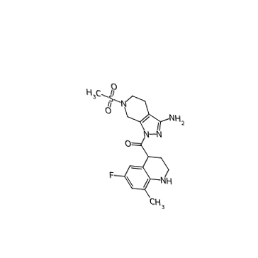 Cc1cc(F)cc2c1NCCC2C(=O)n1nc(N)c2c1CN(S(C)(=O)=O)CC2